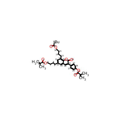 C=C(C)C(=O)OCCCCc1cc(CCCCOC(=O)C(C)(C)C)c2oc(=O)c(-c3ccc(OC(=O)C(=C)C)cc3)cc2c1